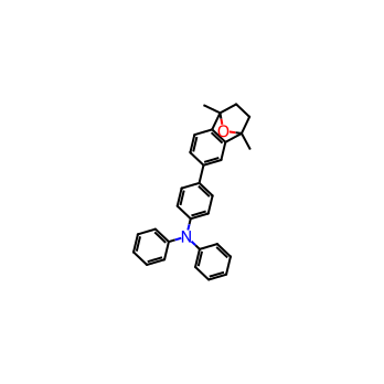 CC12CCC(C)(O1)c1cc(-c3ccc(N(c4ccccc4)c4ccccc4)cc3)ccc12